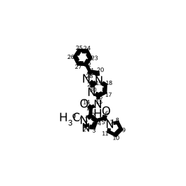 Cn1ncc(C(=O)N2CC=CC2)c1C(=O)Nc1ccn2cc(-c3ccccc3)nc2n1